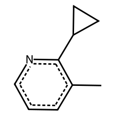 Cc1cccnc1C1CC1